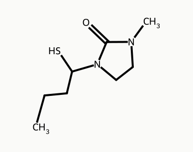 CCCC(S)N1CCN(C)C1=O